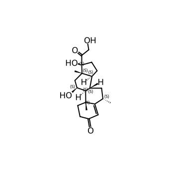 C[C@H]1C[C@@H]2[C@H]([C@@H](O)C[C@@]3(C)[C@H]2CC[C@@]3(O)C(=O)CO)[C@@]2(C)CCC(=O)C=C12